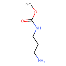 CCCOC(=O)NCCCN